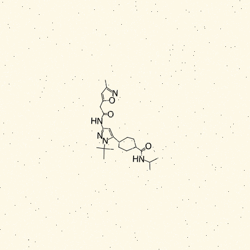 Cc1cc(CC(=O)Nc2cc(C3CCC(C(=O)NC(C)C)CC3)n(C(C)(C)C)n2)on1